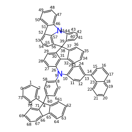 c1ccc(C2(c3ccc(N(c4ccc(-c5cccc6ccccc56)cc4)c4cccc5c4-c4ccccc4C54c5ccccc5-n5c6ccccc6c6cccc4c65)cc3)c3ccccc3-c3ccccc32)cc1